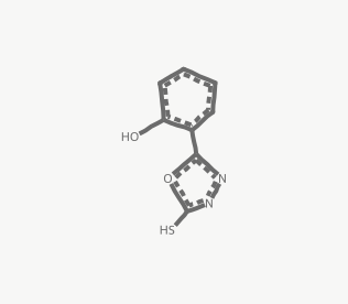 Oc1ccccc1-c1nnc(S)o1